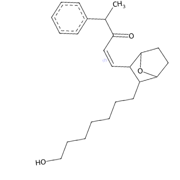 CC(C(=O)/C=C\C1C2CCC(O2)C1CCCCCCCO)c1ccccc1